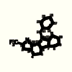 FC(F)(F)c1cn2ccc3c4ccccc4n(Cc4ccccc4)c3c2n1